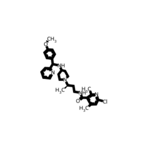 COc1ccc(C(NC2CCN([C@H](C)CCNC(=O)c3c(C)cc(Cl)nc3C)CC2)c2ccccn2)cc1